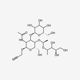 CC(=O)NC1C(O[C@@H]2O[C@@H](CO)C(O)C(O)C2O)C(O[C@@H](C)OC(C)C(O)[C@H](O)CO)[C@H](CO)O[C@H]1SCC#N